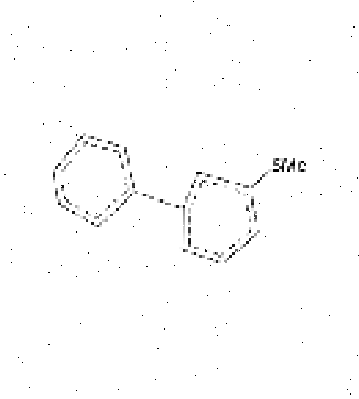 CSc1cccc(-c2ccccc2)c1